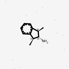 C[C@@H]1c2ccccc2[C@H](C)[C@H]1N